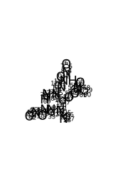 O=C(CN1CCOCC1)Nc1cccc(CN(Cc2cc(CN(Cc3ccccn3)Cc3cccc(NC(=O)CN4CCOCC4)n3)cc(OCCCCN3C(=O)c4ccccc4C3=O)c2)Cc2ccccn2)n1